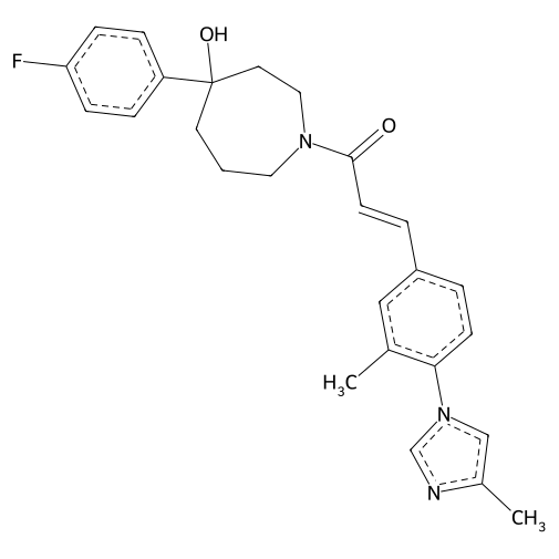 Cc1cn(-c2ccc(/C=C/C(=O)N3CCCC(O)(c4ccc(F)cc4)CC3)cc2C)cn1